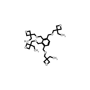 CCC1(COCc2ccc(COCC3(CC)COC3)c(COCC3(CC)COC3)c2COCC2(CC)COC2)COC1